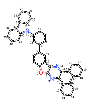 c1cc(-c2ccc3oc4nc5c6ccccc6c6ccccc6c5nc4c3c2)cc(-n2c3ccccc3c3ccccc32)c1